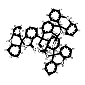 [N-]=[N+]=CC(c1cccc2c1C(=O)OC21c2ccccc2Oc2ccccc21)(c1cccc2c1C(=O)OC21c2ccccc2Oc2ccccc21)c1cccc2c1C(=O)OC21c2ccccc2Oc2ccccc21